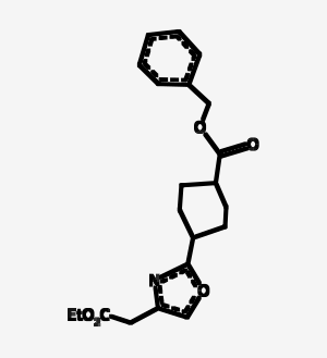 CCOC(=O)Cc1coc(C2CCC(C(=O)OCc3ccccc3)CC2)n1